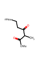 CCCCCCCCC(=O)C(C)C(=O)OC